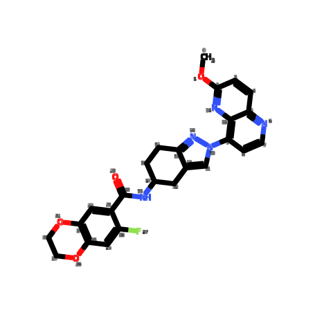 COc1ccc2nccc(-n3cc4c(n3)CCC(NC(=O)c3cc5c(cc3F)OCCO5)C4)c2n1